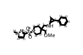 COCC1(CNC2CC2c2ccccc2)CCN(S(=O)(=O)c2ccn(C)n2)CC1